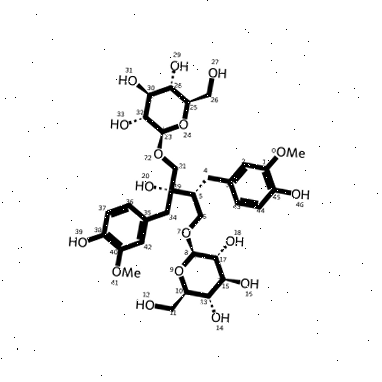 COc1cc(C[C@H](CO[C@@H]2O[C@H](CO)[C@@H](O)[C@H](O)[C@H]2O)[C@](O)(CO[C@@H]2O[C@H](CO)[C@@H](O)[C@H](O)[C@H]2O)Cc2ccc(O)c(OC)c2)ccc1O